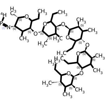 [4H]/P=N\[C@H]1C(C)[C@H](O[C@@H]2OC(CC)[C@@H](O[C@@H]3OC(CC)[C@@H](O[C@@H]4OC(CC)[C@@H](O[C@@H]5OC(CC)[C@@H](C)C(C)[C@@H]5C)C(C)[C@@H]4C)C(C)[C@@H]3C)C(C)[C@@H]2C)C(CC)O[C@H]1C